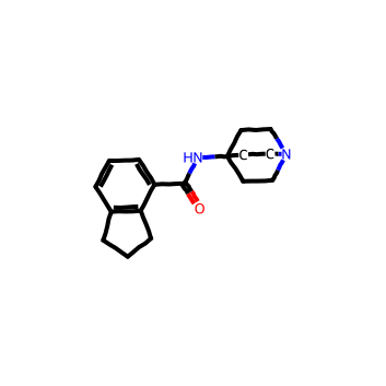 O=C(NC12CCN(CC1)CC2)c1cccc2c1CCC2